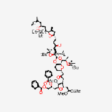 C=C=C(C)CC(CCC1O[C@@H](CCC(=O)/C=C/[C@@H](CO[C@H]2CC[C@H](CC(=O)C[C@H]3[C@H](CC(OC)OC)OC(C[C@H](COC(=O)c4ccccc4)OC(=O)c4ccccc4)[C@@H]3OC)O[C@@H]2C(O[Si](C)(C)C(C)(C)C)[C@@H](C)O[Si](C)(C)C(C)(C)C)O[Si](C)(C)C(C)(C)C)CC1=C)O[Si](CC)(CC)CC